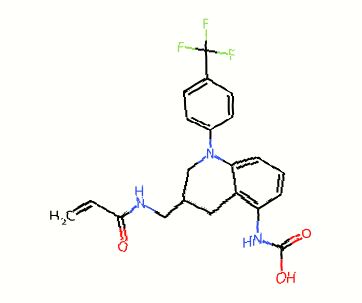 C=CC(=O)NCC1Cc2c(NC(=O)O)cccc2N(c2ccc(C(F)(F)F)cc2)C1